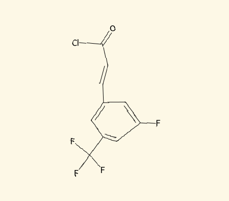 O=C(Cl)C=Cc1cc(F)cc(C(F)(F)F)c1